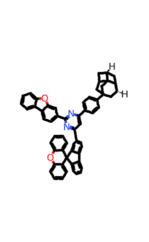 c1ccc2c(c1)Oc1ccccc1C21c2ccccc2-c2ccc(-c3cc(-c4ccc(C56CC7C[C@@H]8C[C@@H](C5)CC78C6)cc4)nc(-c4ccc5c(c4)oc4ccccc45)n3)cc21